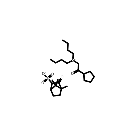 CC12CCC(C(S(=O)(=O)[O-])C1=O)C2(C)C.CCCC[S+](CCCC)CC(=O)C1CCCC1